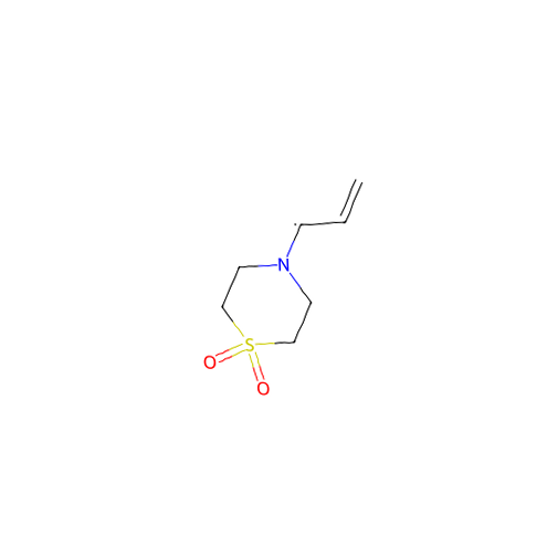 C=C[CH]N1CCS(=O)(=O)CC1